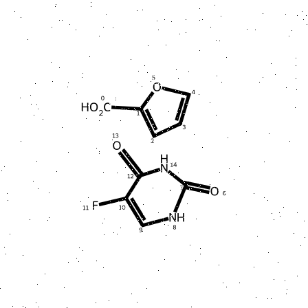 O=C(O)c1ccco1.O=c1[nH]cc(F)c(=O)[nH]1